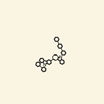 C1#Cc2c(c3ccccc3n2-c2cccc(-c3ccc(-c4ccccc4)cc3)c2)C=C(c2ccc3c(c2)c2ccccc2n3-c2ccccc2-c2ccccc2)C1